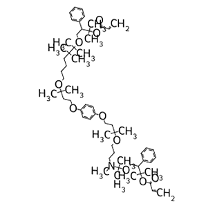 C=CC(=O)OC(C)(C)C(COC(C)(C)N(C)CCCOC(C)(C)CCOc1ccc(OCCC(C)(C)OCCCCC(C)(C)C(C)(C)OCC(c2ccccc2)C(C)(C)OC(=O)C=C)cc1)c1ccccc1